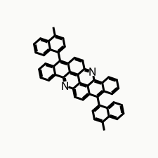 Cc1ccc(-c2c3ccccc3c3nc4ccc5c(-c6ccc(C)c7ccccc67)c6ccccc6c6nc7ccc2c3c7c4c56)c2ccccc12